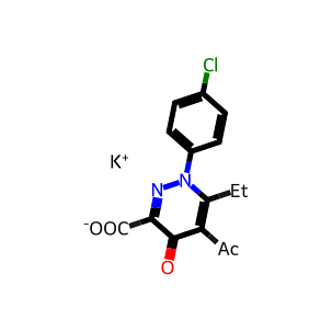 CCc1c(C(C)=O)c(=O)c(C(=O)[O-])nn1-c1ccc(Cl)cc1.[K+]